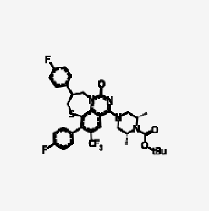 C[C@@H]1CN(c2nc(=O)n3c4c(c(-c5ccc(F)cc5)c(C(F)(F)F)cc24)SCC(c2ccc(F)cc2)C3)C[C@H](C)N1C(=O)OC(C)(C)C